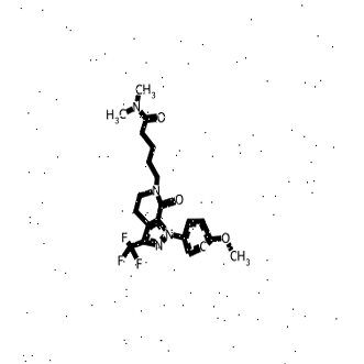 COc1ccc(-n2nc(C(F)(F)F)c3c2C(=O)N(CCCCC(=O)N(C)C)CC3)cc1